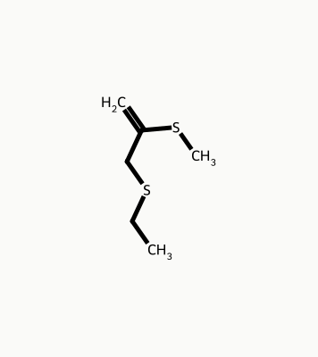 C=C(CSCC)SC